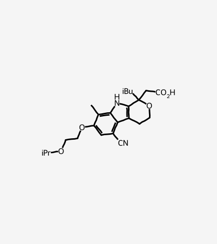 CCC(C)C1(CC(=O)O)OCCc2c1[nH]c1c(C)c(OCCOC(C)C)cc(C#N)c21